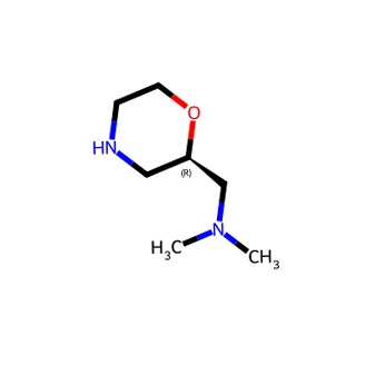 CN(C)C[C@H]1CNCCO1